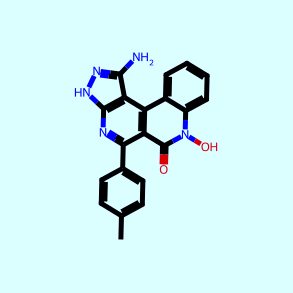 Cc1ccc(-c2nc3[nH]nc(N)c3c3c2c(=O)n(O)c2ccccc32)cc1